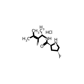 CC(C)=C(F)[C@H](C)NC(=O)[C@@H]1C[C@@H](F)CN1.Cl